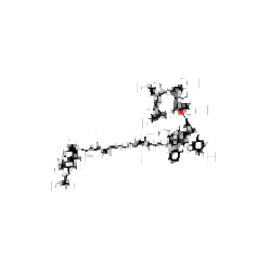 Cc1cc(C[C@@H](NC(=O)CCC(C(=O)O)N2CCN(CC(=O)O)CCN(CC(=O)O)CCN(CC(=O)O)CC2)C(=O)N[C@H](Cc2ccccc2)C(=O)N[C@H](CCCCNC(=O)CCCCCCC(=O)NCCCC[C@H](NC(=O)NC(CCC(=O)O)C(=O)O)C(=O)O)C(=O)O)ccc1O